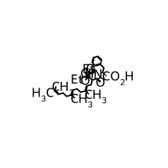 CCOC(OCC)(P=O)C(C/C=C(\C)CC/C=C(\C)CCC=C(C)C)C(=O)N[C@@H](Cc1ccccc1)C(=O)O